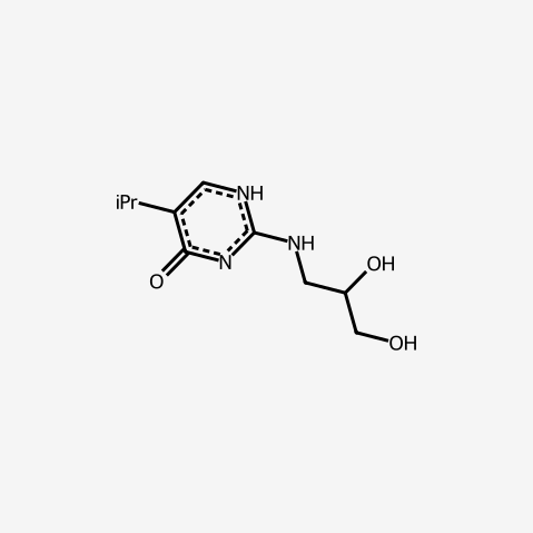 CC(C)c1c[nH]c(NCC(O)CO)nc1=O